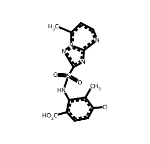 Cc1c(Cl)ccc(C(=O)O)c1NS(=O)(=O)c1nc2nccc(C)n2n1